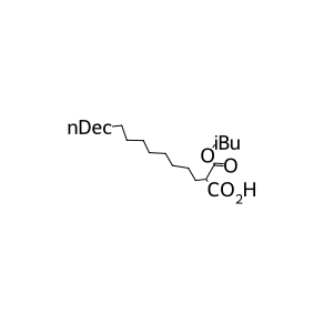 CCCCCCCCCCCCCCCCCCC(C(=O)O)C(=O)OC(C)CC